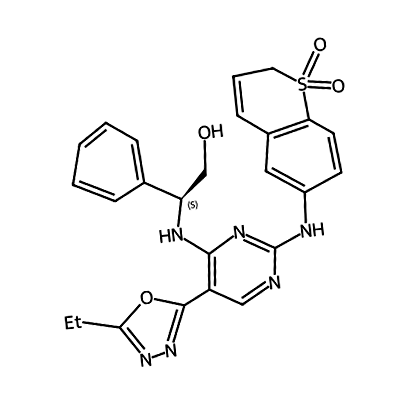 CCc1nnc(-c2cnc(Nc3ccc4c(c3)C=CCS4(=O)=O)nc2N[C@H](CO)c2ccccc2)o1